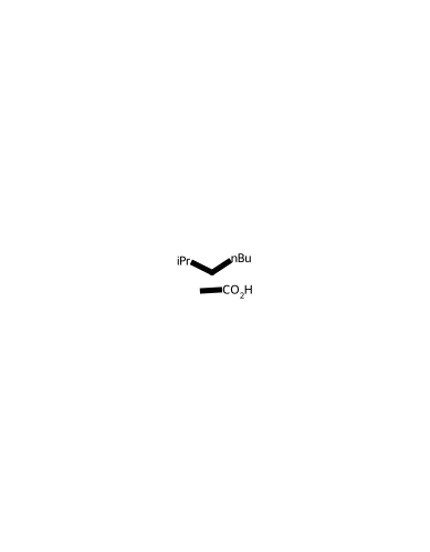 CC(=O)O.CCCCCC(C)C